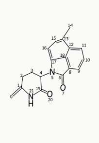 C=C1CCC(N2C(=O)c3cccc4c(C)ccc2c34)C(=O)N1